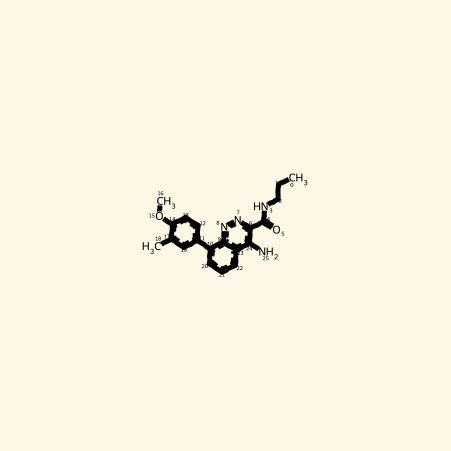 CCCNC(=O)c1nnc2c(-c3ccc(OC)c(C)c3)cccc2c1N